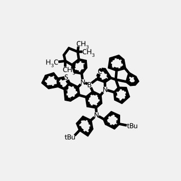 CC(C)(C)c1ccc(N(c2ccc(C(C)(C)C)cc2)c2cc3c4c(c2)N2c5ccccc5C5(c6ccccc6-c6ccccc65)c5cccc(c52)B4N(c2ccc4c(c2)C(C)(C)CCC4(C)C)c2c-3ccc3c2sc2ccccc23)cc1